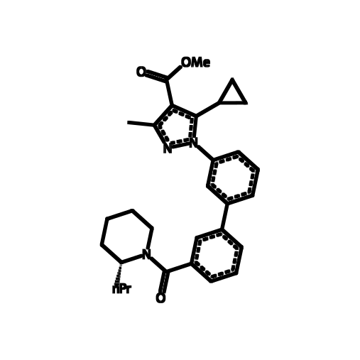 CCC[C@@H]1CCCCN1C(=O)c1cccc(-c2cccc(-n3nc(C)c(C(=O)OC)c3C3CC3)c2)c1